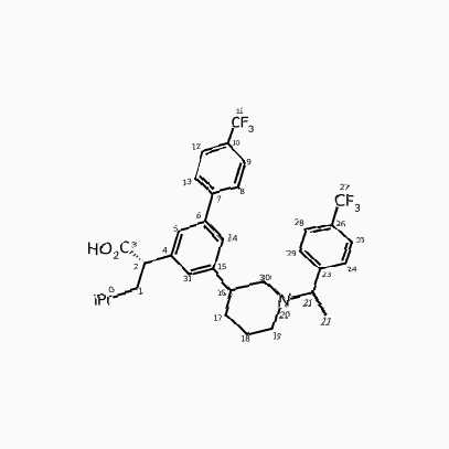 CC(C)C[C@H](C(=O)O)c1cc(-c2ccc(C(F)(F)F)cc2)cc(C2CCCN(C(C)c3ccc(C(F)(F)F)cc3)C2)c1